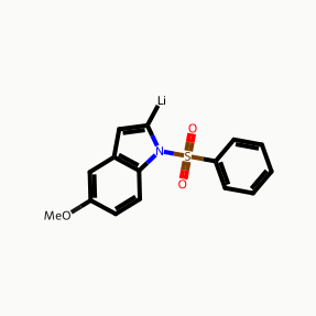 [Li][c]1cc2cc(OC)ccc2n1S(=O)(=O)c1ccccc1